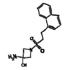 N#CC1(N)CN(S(=O)(=O)CCc2cccc3ccccc23)C1